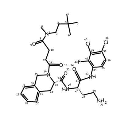 CN(CCC(C)(C)C)C(=O)CCC(=O)N1Cc2ccccc2C[C@H]1C(=O)N[C@@H](CCN)C(=O)Nc1ccc(Cl)c(Cl)c1F